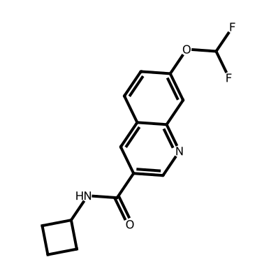 O=C(NC1CCC1)c1cnc2cc(OC(F)F)ccc2c1